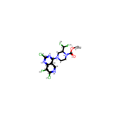 CC(C)(C)OC(=O)N1CCN(c2nc(Cl)nc3c(F)c(Cl)ncc23)CC1C(F)F